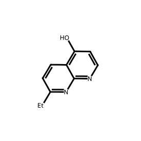 CCc1ccc2c(O)ccnc2n1